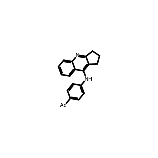 CC(=O)c1ccc(Nc2c3c(nc4ccccc24)CCC3)cc1